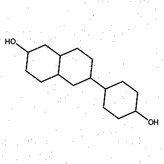 OC1CCC(C2CCC3CC(O)CCC3C2)CC1